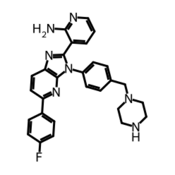 Nc1ncccc1-c1nc2ccc(-c3ccc(F)cc3)nc2n1-c1ccc(CN2CCNCC2)cc1